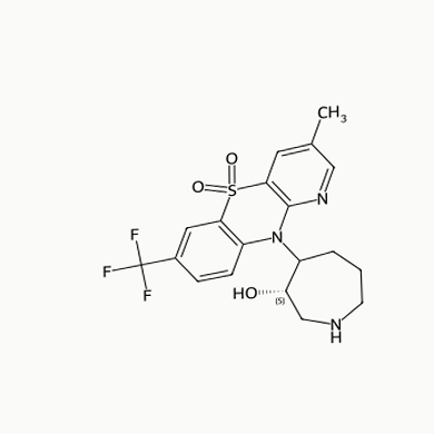 Cc1cnc2c(c1)S(=O)(=O)c1cc(C(F)(F)F)ccc1N2C1CCCNC[C@@H]1O